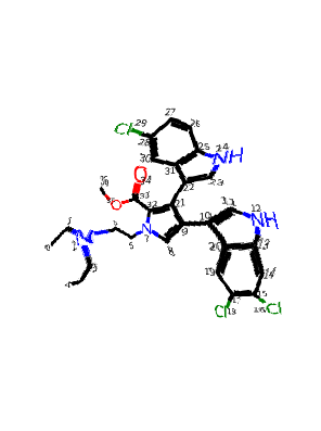 CCN(CC)CCn1cc(-c2c[nH]c3cc(Cl)c(Cl)cc23)c(-c2c[nH]c3ccc(Cl)cc23)c1C(=O)OC